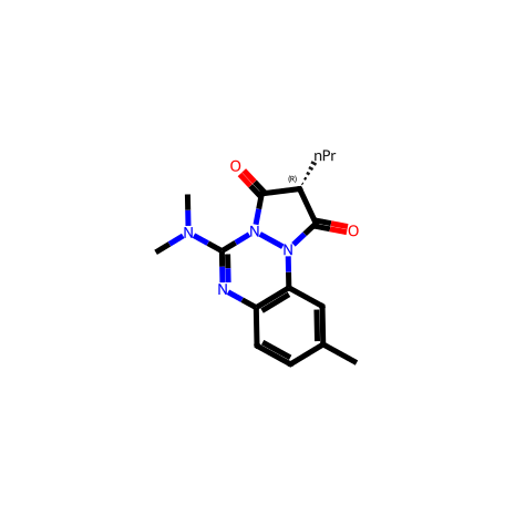 CCC[C@H]1C(=O)N2C(N(C)C)=Nc3ccc(C)cc3N2C1=O